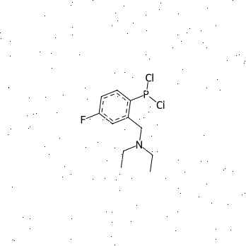 CCN(CC)Cc1cc(F)ccc1P(Cl)Cl